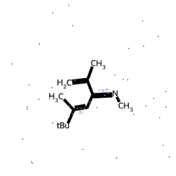 C=C(C)C(/C=C(\C)C(C)(C)C)=N/C